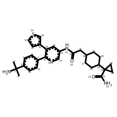 CC(C)(N)c1ccc(-c2ncc(NC(=O)CC3CCC(C4(C(N)=O)CC4)CC3)cc2-c2ccsc2)cc1